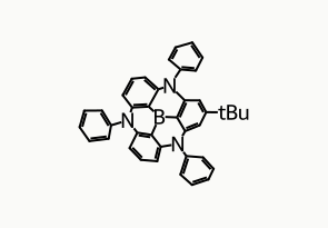 CC(C)(C)c1cc2c3c(c1)N(c1ccccc1)c1cccc4c1B3c1c(cccc1N2c1ccccc1)N4c1ccccc1